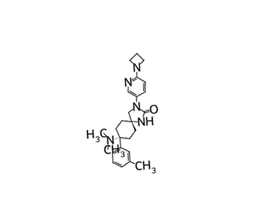 Cc1cccc([C@]2(N(C)C)CC[C@@]3(CC2)CN(c2ccc(N4CCC4)nc2)C(=O)N3)c1